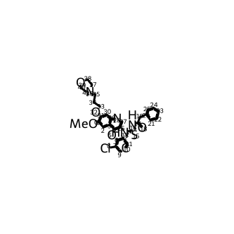 COc1cc2c(Oc3c(Cl)cccc3NC(=S)NC(=O)Cc3ccccc3)ccnc2cc1OCCCN1CCOCC1